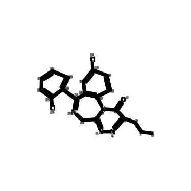 CCCc1nnc2n(c1=O)-c1ccc(Cl)cc1C(c1ccccc1Cl)=NC2